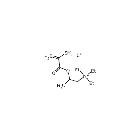 C=C(C)C(=O)OC(C)C[N+](CC)(CC)CC.[Cl-]